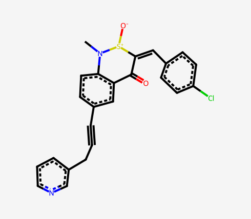 CN1c2ccc(C#CCc3cccnc3)cc2C(=O)/C(=C\c2ccc(Cl)cc2)[S+]1[O-]